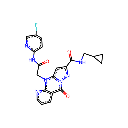 O=C(Cn1c2ncccc2c(=O)n2nc(C(=O)NCC3CC3)cc12)Nc1ccc(F)cn1